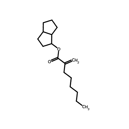 C=C(CCCCCC)C(=O)OC1CCC2CCCC21